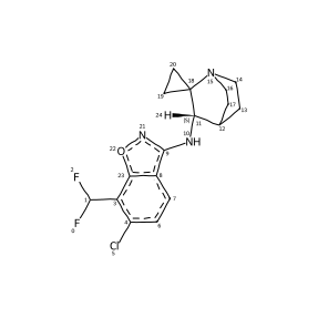 FC(F)c1c(Cl)ccc2c(N[C@H]3C4CCN(CC4)C34CC4)noc12